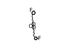 O=C(OCCCCCc1cccc(F)c1)OCCCCCc1cccc(F)c1